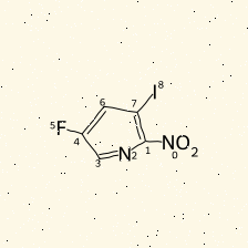 O=[N+]([O-])c1ncc(F)cc1I